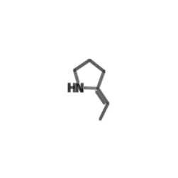 CC=C1CCCN1